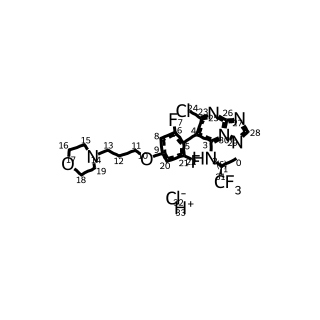 C[C@H](Nc1c(-c2c(F)cc(OCCCN3CCOCC3)cc2F)c(Cl)nc2ncnn12)C(F)(F)F.[Cl-].[H+]